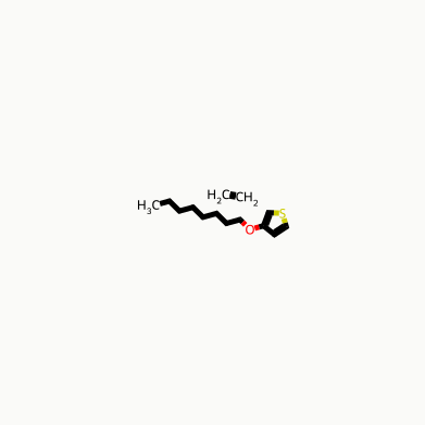 C=C.CCCCCCCCOc1ccsc1